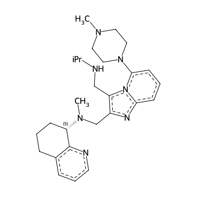 CC(C)NCc1c(CN(C)[C@H]2CCCc3cccnc32)nc2cccc(N3CCN(C)CC3)n12